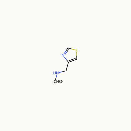 O=[C]NCc1cscn1